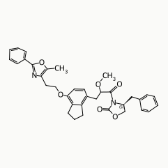 COC(Cc1ccc(OCCc2nc(-c3ccccc3)oc2C)c2c1CCC2)C(=O)N1C(=O)OC[C@@H]1Cc1ccccc1